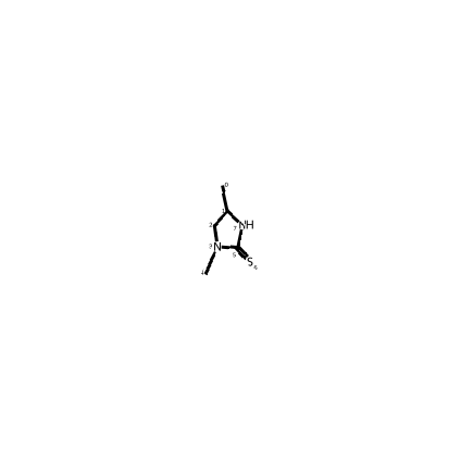 CC1CN(C)C(=S)N1